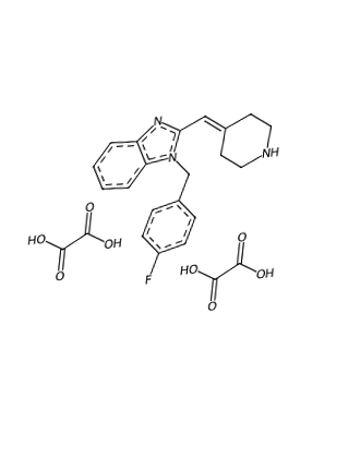 Fc1ccc(Cn2c(C=C3CCNCC3)nc3ccccc32)cc1.O=C(O)C(=O)O.O=C(O)C(=O)O